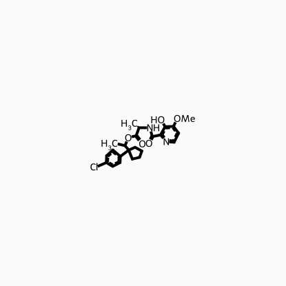 COc1ccnc(C(=O)N[C@@H](C)C(=O)OC(C)C2(c3ccc(Cl)cc3)CCCC2)c1O